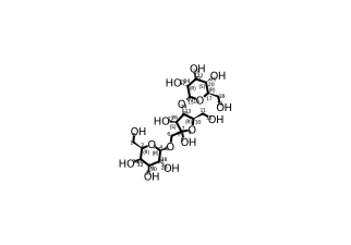 OC[C@H]1O[C@@H](OC[C@@]2(O)O[C@H](CO)[C@@H](O[C@H]3O[C@H](CO)[C@@H](O)[C@H](O)[C@H]3O)[C@@H]2O)[C@H](O)[C@@H](O)[C@H]1O